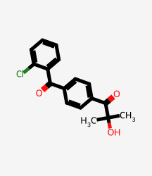 CC(C)(O)C(=O)c1ccc(C(=O)c2ccccc2Cl)cc1